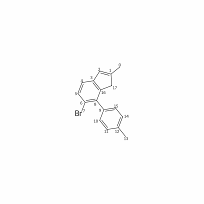 CC1=Cc2ccc(Br)c(-c3ccc(C)cc3)c2C1